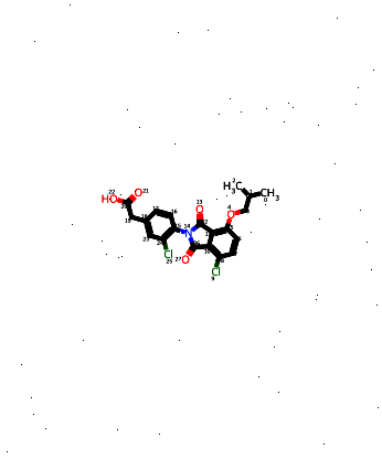 CC(C)COc1ccc(Cl)c2c1C(=O)N(c1ccc(CC(=O)O)cc1Cl)C2=O